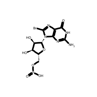 Nc1nc2c(nc(Br)n2[C@@H]2O[C@H](CO[P](=O)O)[C@@H](O)[C@H]2O)c(=O)[nH]1